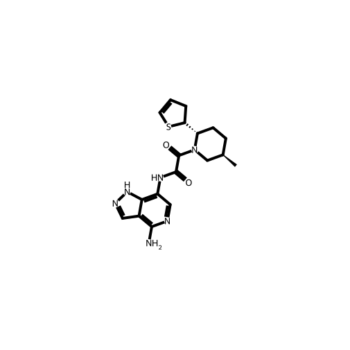 C[C@@H]1CC[C@@H](C2CC=CS2)N(C(=O)C(=O)Nc2cnc(N)c3cn[nH]c23)C1